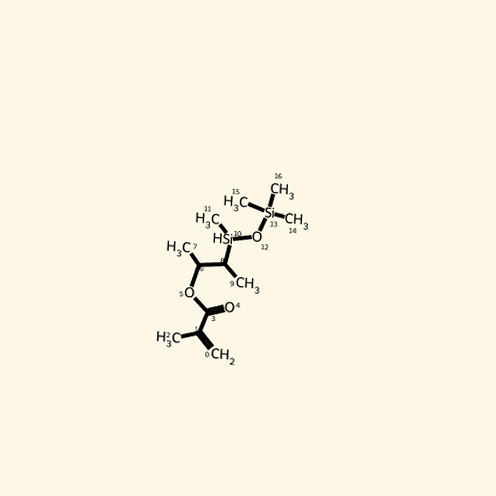 C=C(C)C(=O)OC(C)C(C)[SiH](C)O[Si](C)(C)C